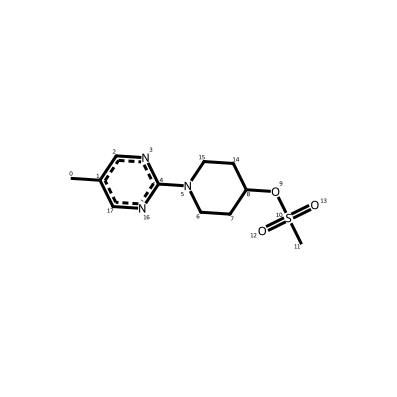 Cc1cnc(N2CCC(OS(C)(=O)=O)CC2)nc1